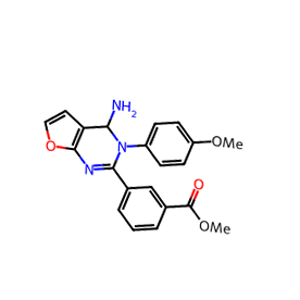 COC(=O)c1cccc(C2=Nc3occc3C(N)N2c2ccc(OC)cc2)c1